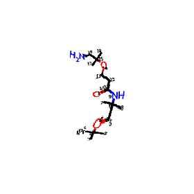 CC(C)C(C)(C)OCC(C)(C)NC(=O)CCOC(C)(C)CN